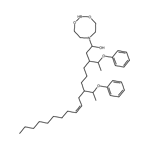 CCCCCCCC/C=C\CC(CCCC(CC(O)N1CCOBOCC1)C(C)Oc1ccccc1)C(C)Oc1ccccc1